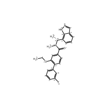 CCOc1cc(C(=O)N(C)[C@H](C)c2cccc3cn[nH]c23)ccc1-c1cccc(F)c1